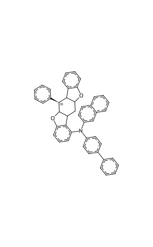 c1ccc(-c2ccc(N(c3ccc4ccccc4c3)c3cccc4c3C3CC5Oc6ccccc6C5[C@H](c5ccccc5)C3O4)cc2)cc1